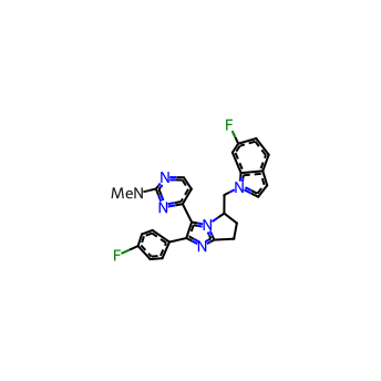 CNc1nccc(-c2c(-c3ccc(F)cc3)nc3n2C(Cn2ccc4ccc(F)cc42)CC3)n1